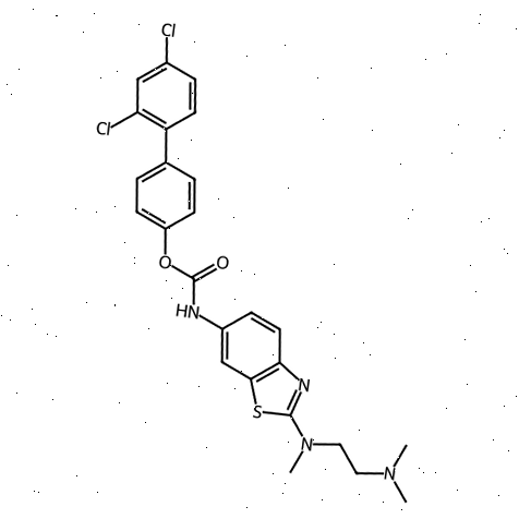 CN(C)CCN(C)c1nc2ccc(NC(=O)Oc3ccc(-c4ccc(Cl)cc4Cl)cc3)cc2s1